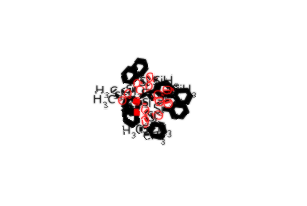 C[Si](C)(C)O[Si]1(c2ccccc2)OC23O[Si](c4ccccc4)(O1)O[Si](O[SiH3])(c1ccccc1)O[Si]2(c1ccccc1)C12O[Si](O[SiH3])(c4ccccc4)O[Si](c4ccccc4)(O1)O[Si](O[Si](C)(C)C)(c1ccccc1)O[Si]32c1ccccc1